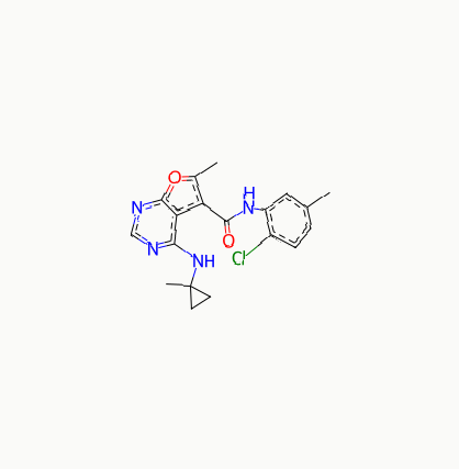 Cc1ccc(Cl)c(NC(=O)c2c(C)oc3ncnc(NC4(C)CC4)c23)c1